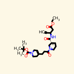 C#CC(CC(=O)OCC)NC(=O)[C@@H]1CCCN(C(=O)CCC2=CCN(C(=O)OC(C)(C)C)CC2)C1